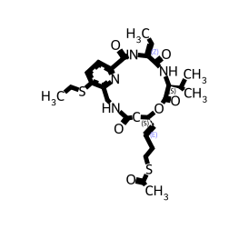 C/C=C1\NC(=O)c2ccc(SCC)c(n2)CNC(=O)C[C@@H](/C=C/CCSC(C)=O)OC(=O)[C@H](C(C)C)NC1=O